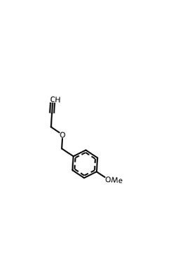 C#CCOCc1ccc(OC)cc1